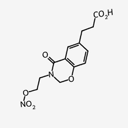 O=C(O)CCc1ccc2c(c1)C(=O)N(CCO[N+](=O)[O-])CO2